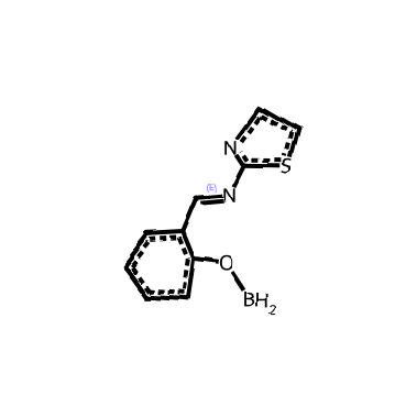 BOc1ccccc1/C=N/c1nccs1